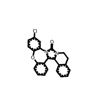 O=c1n2c(c3n1-c1cc(Cl)ccc1Oc1ccccc1-3)-c1ccccc1CC2